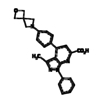 Cc1nn(-c2ccccc2)c2nc(C(=O)O)cc(-c3ccc(N4CC5(COC5)C4)cc3)c12